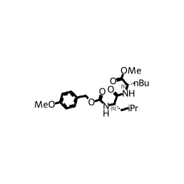 CCCC[C@H](NC(=O)[C@H](CC(C)C)NC(=O)OCc1ccc(OC)cc1)C(=O)OC